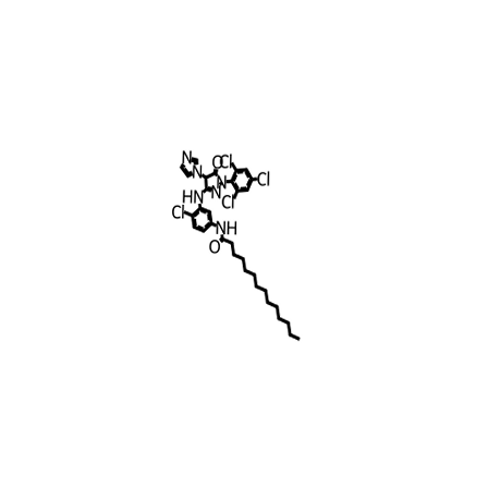 CCCCCCCCCCCCCC(=O)Nc1ccc(Cl)c(NC2=NN(c3c(Cl)cc(Cl)cc3Cl)C(=O)C2n2ccnc2)c1